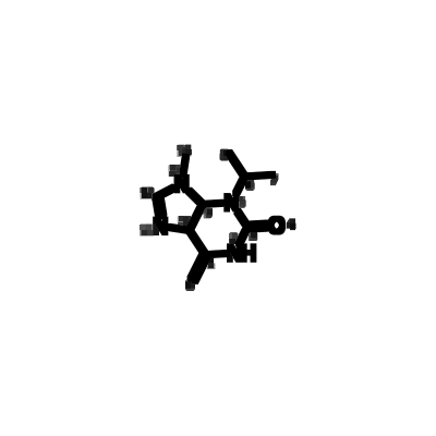 C=C1NC(=O)N(C(C)C)C2C1N=CN2C